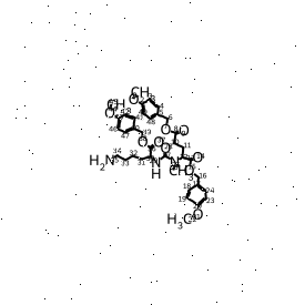 COc1ccc(COC(=O)CCC(C(=O)OCc2ccc(OC)cc2)N(C)C(=O)NC(CCCCN)C(=O)OCc2ccc(OC)cc2)cc1